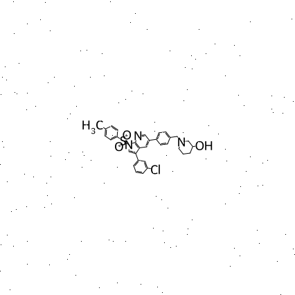 Cc1ccc(S(=O)(=O)n2cc(-c3cccc(Cl)c3)c3cc(-c4ccc(CN5CCCC(O)C5)cc4)cnc32)cc1